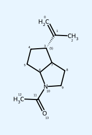 C=C(C)[C@H]1CCC2C1CCN2C(C)=O